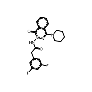 O=C(Cc1cc(F)cc(F)c1)Nn1nc(N2CCCCC2)c2ccccc2c1=O